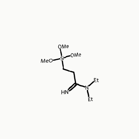 CCN(CC)C(=N)CC[Si](OC)(OC)OC